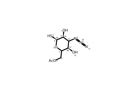 CC(=O)OCC1O[C@@H](S)[C@@H](O)C(N=[N+]=[N-])[C@H]1O